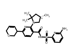 C[C@@H]1CN(c2nc(C3C=CCOC3)ccc2C(=O)NS(=O)(=O)c2cccc(N)n2)C(C)(C)C1